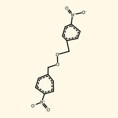 O=[N+]([O-])c1ccc(COOCc2ccc([N+](=O)[O-])cc2)cc1